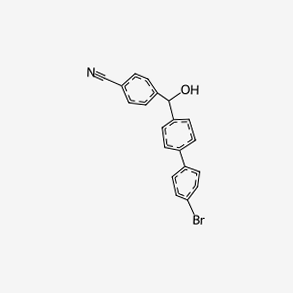 N#Cc1ccc(C(O)c2ccc(-c3ccc(Br)cc3)cc2)cc1